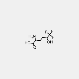 NC(CCC(O)C(F)(F)F)C(=O)O